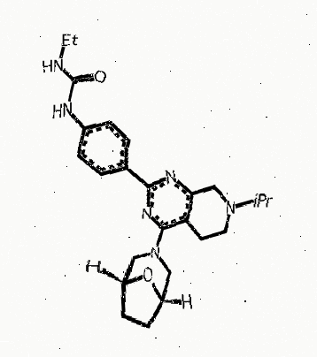 CCNC(=O)Nc1ccc(-c2nc3c(c(N4C[C@H]5CC[C@@H](C4)O5)n2)CCN(C(C)C)C3)cc1